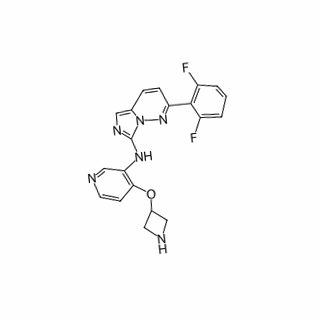 Fc1cccc(F)c1-c1ccc2cnc(Nc3cnccc3OC3CNC3)n2n1